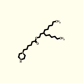 CCCCCCC(CCCCCC)CCOC(=O)CCCCCN1CCNCC1